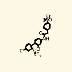 CCS(=O)(=O)c1ccc(CC(=O)Nc2ccc(-c3ccc(Cl)cc3OC(F)(F)F)c(Cl)c2)cc1